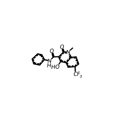 Cn1c(=O)c(C(=O)Nc2ccccc2)c(O)c2cc(C(F)(F)F)ccc21